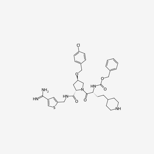 N=C(N)c1csc(CNC(=O)[C@@H]2C[C@@H](OCc3ccc(Cl)cc3)CN2C(=O)[C@@H](CCC2CCNCC2)NC(=O)OCc2ccccc2)c1